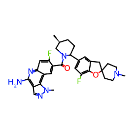 C[C@H]1CCC(c2cc(F)c3c(c2)CC2(CCN(C)CC2)O3)N(C(=O)c2cc3c(cc2F)nc(N)c2cnn(C)c23)C1